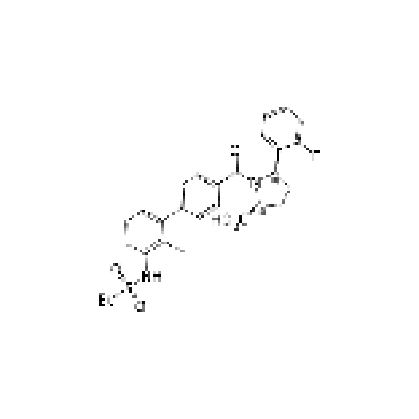 CCS(=O)(=O)Nc1cccc(-c2ccc(C(=O)N3[C@@H](c4ccccc4F)CC[C@H]3C(=O)O)cc2)c1C